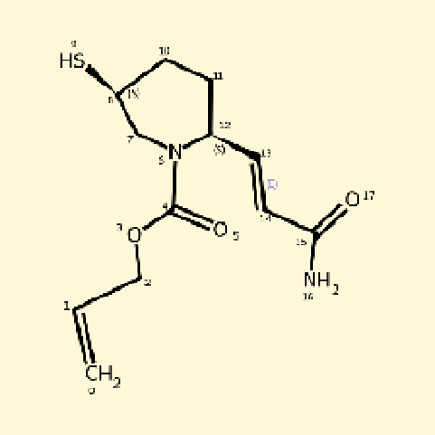 C=CCOC(=O)N1C[C@@H](S)CC[C@H]1/C=C/C(N)=O